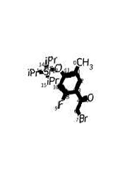 Cc1cc(C(=O)CBr)c(F)cc1O[Si](C(C)C)(C(C)C)C(C)C